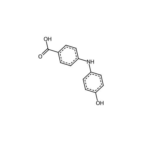 O=C(O)c1ccc(Nc2ccc(O)cc2)cc1